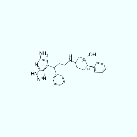 Nc1cc(C(CCNC2CC[C@H](c3ccccc3)[C@@H](O)C2)c2ccccc2)c2nn[nH]c2n1